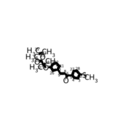 CSc1ccc(C(=O)/C=C/c2cccc(OC(C)(C)C(=O)OC(C)(C)C)c2)cc1